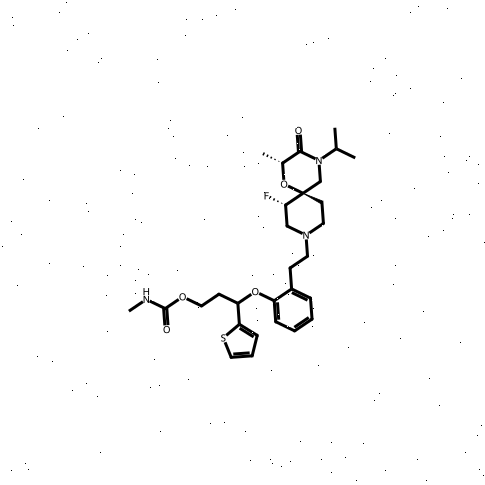 CNC(=O)OCCC(Oc1ccccc1CCN1CC[C@@]2(CN(C(C)C)C(=O)[C@@H](C)O2)[C@@H](F)C1)c1cccs1